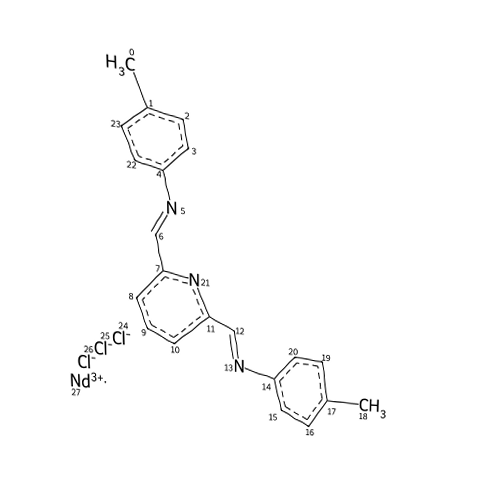 Cc1ccc(N=Cc2cccc(C=Nc3ccc(C)cc3)n2)cc1.[Cl-].[Cl-].[Cl-].[Nd+3]